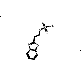 CS(=O)(=O)OCCC1=NC2C=CC=CC2O1